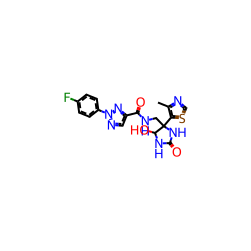 Cc1ncsc1C1(CNC(=O)c2cnn(-c3ccc(F)cc3)n2)NC(=O)NC1O